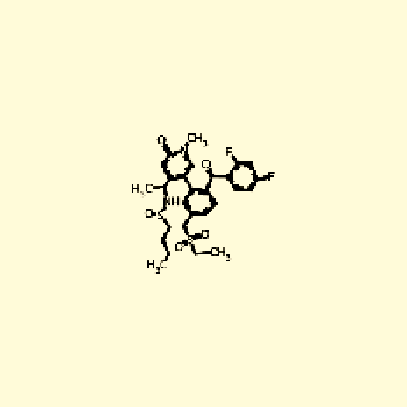 CCCC[S@+]([O-])N[C@@H](C)c1cc(=O)n(C)cc1-c1cc(CS(=O)(=O)CC)ccc1C(=O)c1ccc(F)cc1F